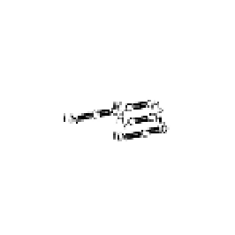 C=C.C=C.N=C=O.N=C=O